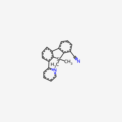 C[Si]1(C)c2c(C#N)cccc2-c2cccc(-c3ccccn3)c21